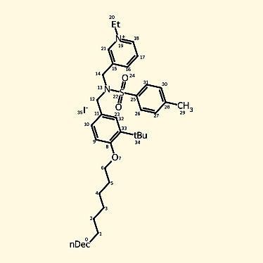 CCCCCCCCCCCCCCCCOc1ccc(CN(Cc2ccc[n+](CC)c2)S(=O)(=O)c2ccc(C)cc2)cc1C(C)(C)C.[I-]